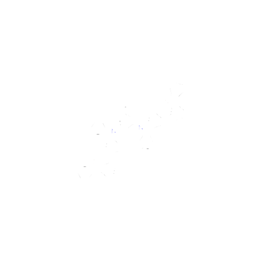 C[Si](C)(C)c1cc(-n2c3ccccc3c3cc(-c4cccc5c4sc4ccccc45)ccc32)cc(-n2c3ccccc3c3cc(-c4cccc5c4sc4ccccc45)ccc32)c1